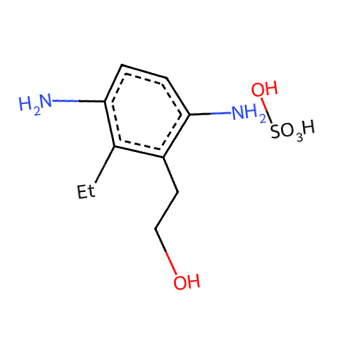 CCc1c(N)ccc(N)c1CCO.O=S(=O)(O)O